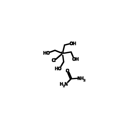 NC(N)=O.OCP(Cl)(CO)(CO)CO